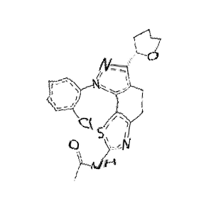 CC(=O)Nc1nc2c(s1)-c1c(c([C@@H]3CCCO3)nn1-c1ccccc1Cl)CC2